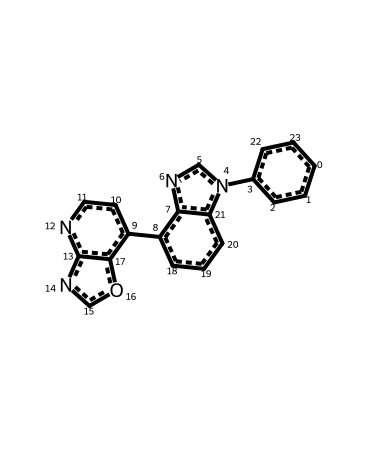 c1ccc(-n2cnc3c(-c4ccnc5ncoc45)cccc32)cc1